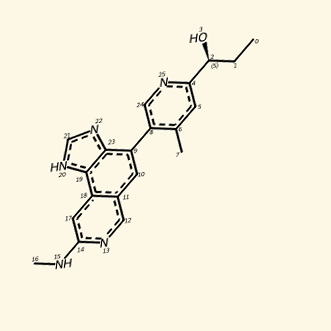 CC[C@H](O)c1cc(C)c(-c2cc3cnc(NC)cc3c3[nH]cnc23)cn1